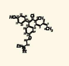 C=C(/C=C\C=C/C)/C(Cl)=C(/c1ccc(O)cc1)c1ccc(OCCN(CC)CC)cc1